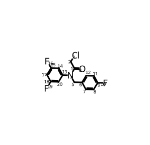 O=C(CCl)N(Cc1ccc(F)cc1)c1cc(F)cc(F)c1